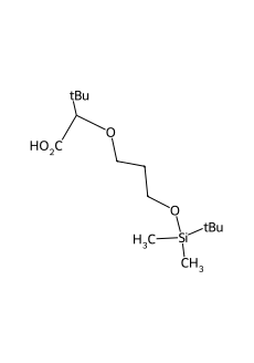 CC(C)(C)C(OCCCO[Si](C)(C)C(C)(C)C)C(=O)O